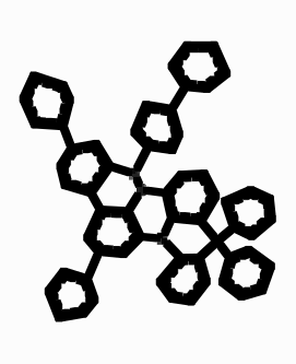 c1ccc(-c2ccc(N3B4c5cccc6c5N(c5ccccc5C6(c5ccccc5)c5ccccc5)c5cc(-c6ccccc6)cc(c54)-c4ccc(-c5ccccc5)cc43)cc2)cc1